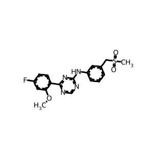 COc1cc(F)ccc1-c1ncnc(Nc2cccc(CS(C)(=O)=O)c2)n1